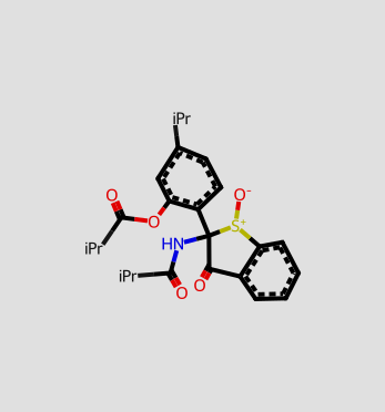 CC(C)C(=O)NC1(c2ccc(C(C)C)cc2OC(=O)C(C)C)C(=O)c2ccccc2[S+]1[O-]